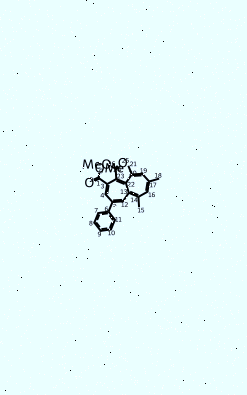 COC(=O)C1=CC(c2ccccc2)=CC2=C(C)C=C(C)C=C(C)C2=C1C(=O)OC